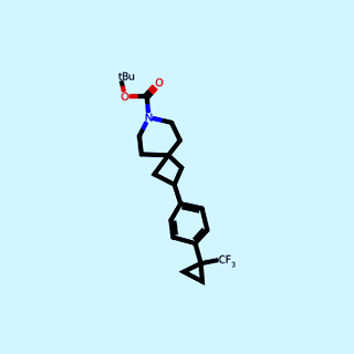 CC(C)(C)OC(=O)N1CCC2(CC1)CC(c1ccc(C3(C(F)(F)F)CC3)cc1)C2